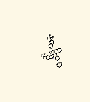 O=C([C@H](Cc1ccccc1)N(Cc1ccc(-c2ccccn2)cc1)C(=O)/C=C\c1ccc(C(F)(F)F)cc1)N1CCc2cc(C(F)(F)F)ccc2C1